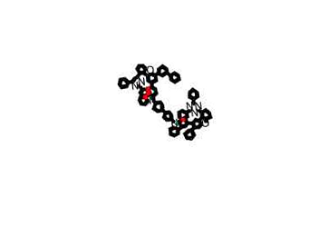 c1ccc(-c2cccc(-c3cc(-c4ccc5c(c4)c4ccccc4n5-c4ccc(-c5ccc(-n6c7ccccc7c7cc(-c8cc9c(cc8-c8ccccc8)oc8cccc(-c%10nc(-c%11ccccc%11)nc(-c%11ccccc%11)n%10)c89)ccc76)cc5)cc4)cc4c3oc3cccc(-c5cc(-c6ccccc6)nc(-c6ccccc6)n5)c34)c2)cc1